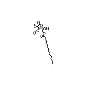 CCCCCCCCCCCCCCCC(=O)OCC(O)[C@H]1OC(=O)C(OC)=C1OCOC